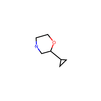 C1COC(C2CC2)C[N]1